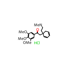 CNCCC1(CC(=O)c2cc(OC)c(OC)c(OC)c2)C=CC=CC1.Cl